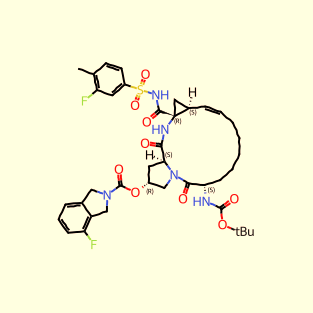 Cc1ccc(S(=O)(=O)NC(=O)[C@@]23C[C@H]2C=CCCCCC[C@H](NC(=O)OC(C)(C)C)C(=O)N2C[C@H](OC(=O)N4Cc5cccc(F)c5C4)C[C@H]2C(=O)N3)cc1F